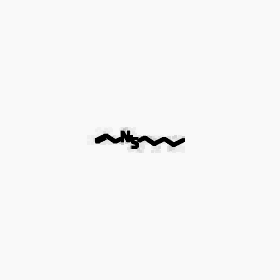 C=CC[N]SCCCCC